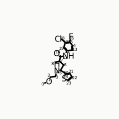 COCCNC(CC(C)C(=O)Nc1ccc(F)c(Cl)c1)c1cccs1